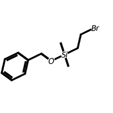 C[Si](C)(CCBr)OCc1ccccc1